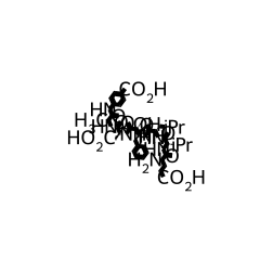 CC(C)C[C@H](NC(=O)[C@@H](NC(=O)[C@@H](N)CCC(=O)O)C(C)C)C(=O)N[C@@H](Cc1ccccc1)[C@@H](O)C(=O)N[C@@H](CC(=O)O)C(=O)N[C@@H](C)C(=O)Nc1ccc(C(=O)O)cc1